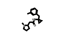 Cc1cccc(CC2(NC(=O)CC3CCCN3C)CC2)c1